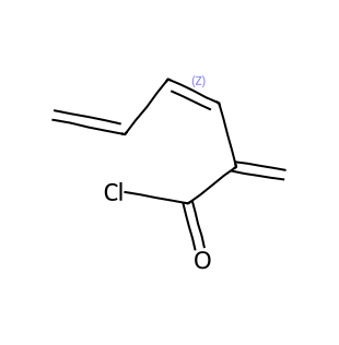 C=C/C=C\C(=C)C(=O)Cl